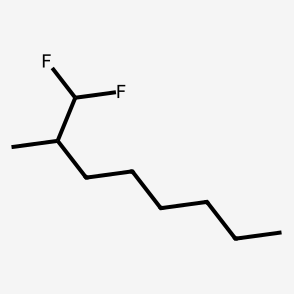 CCCCCCC(C)C(F)F